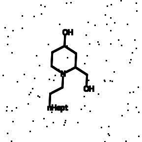 CCCCCCCCCN1CCC(O)CC1CO